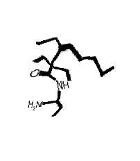 CCCCCC(CC)C(CC)(CC)C(=O)NC(N)CC